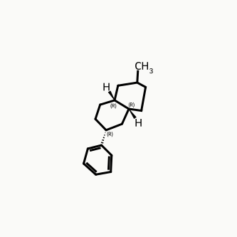 CC1CC[C@@H]2C[C@H](c3ccccc3)CC[C@@H]2C1